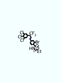 CCC(=S)N(C)NC(=O)c1ccc(/C=C/C(c2cc(Cl)c(Cl)c(Cl)c2)C(F)(F)F)cc1Br